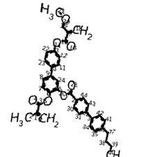 C=C(C)C(=O)Oc1ccc(-c2ccc(OC(=O)C(=C)COC)cc2)cc1OC(=O)c1ccc(-c2ccc(CCCC)cc2)cc1